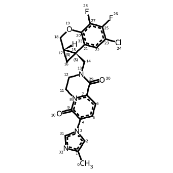 Cc1cn(-c2ccc3n(c2=O)CCN(C[C@@]24C[C@@H]2COc2c4cc(Cl)c(F)c2F)C3=O)cn1